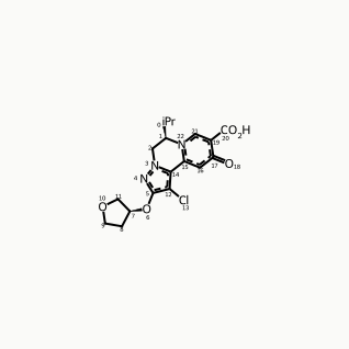 CC(C)[C@@H]1Cn2nc(O[C@H]3CCOC3)c(Cl)c2-c2cc(=O)c(C(=O)O)cn21